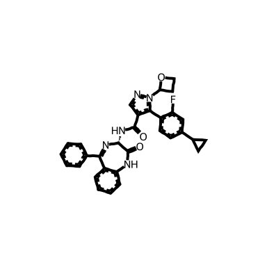 O=C(N[C@H]1N=C(c2ccccc2)c2ccccc2NC1=O)c1cnn(C2CCO2)c1-c1ccc(C2CC2)cc1F